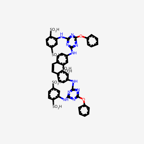 O=S(=O)(O)c1ccc(S(=O)(=O)O)c(Nc2nc(Nc3ccc(/C=C\c4ccc(Nc5nc(Nc6cc(S(=O)(=O)O)ccc6S(=O)(=O)O)nc(Oc6ccccc6)n5)cc4S(=O)(=O)O)c(S(=O)(=O)O)c3)nc(Oc3ccccc3)n2)c1